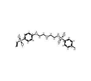 C=CS(=O)(=O)c1ccc(OCCOCCOS(=O)(=O)c2ccc(C)cc2)cc1